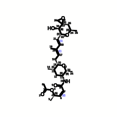 CC(=O)O[C@@H](C)/C=C\C(=O)N[C@@H]1C[C@H](C)[C@H](C/C=C(C)/C=C/[C@H]2O[C@H](C)C[C@@]3(CO3)[C@@H]2O)O[C@@H]1C